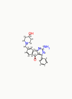 Nc1nc(-c2ccccc2)c2c(n1)-c1cc(CN3CCC(O)CC3)ccc1C2=O